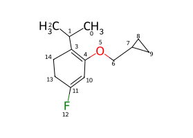 CC(C)C1=C(OCC2CC2)C=C(F)CC1